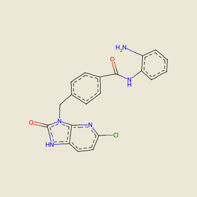 Nc1ccccc1NC(=O)c1ccc(Cn2c(=O)[nH]c3ccc(Cl)nc32)cc1